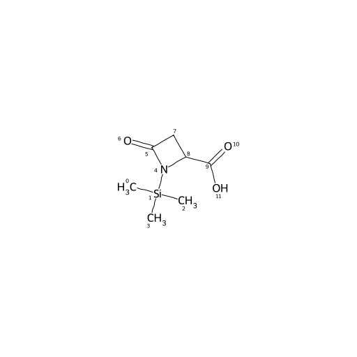 C[Si](C)(C)N1C(=O)CC1C(=O)O